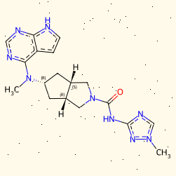 CN(c1ncnc2[nH]ccc12)[C@@H]1C[C@@H]2CN(C(=O)Nc3ncn(C)n3)C[C@@H]2C1